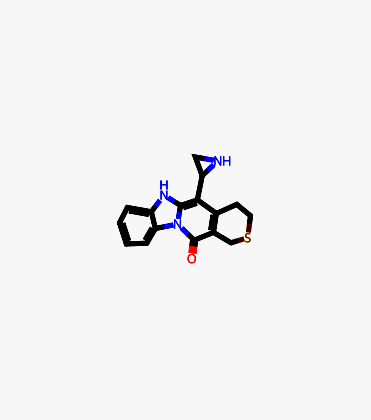 O=c1c2c(c(C3CN3)c3[nH]c4ccccc4n13)CCSC2